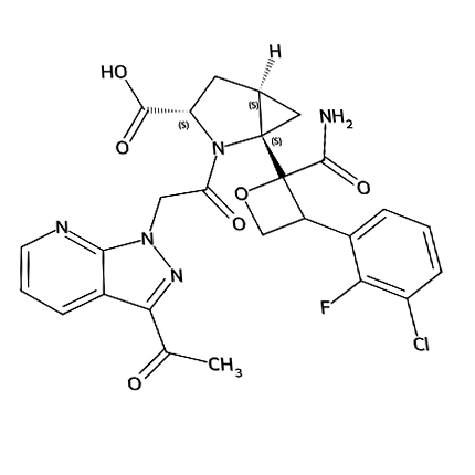 CC(=O)c1nn(CC(=O)N2[C@H](C(=O)O)C[C@H]3C[C@@]32C2(C(N)=O)OCC2c2cccc(Cl)c2F)c2ncccc12